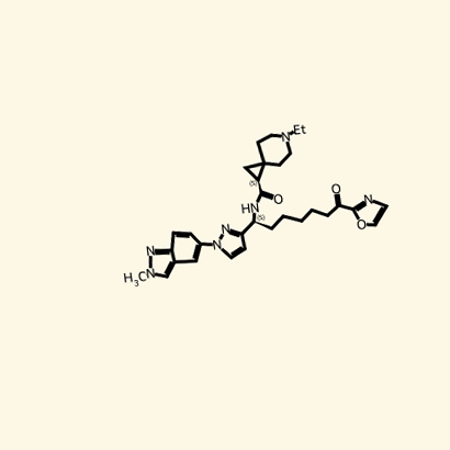 CCN1CCC2(CC1)C[C@@H]2C(=O)N[C@@H](CCCCCC(=O)c1ncco1)c1ccn(-c2ccc3nn(C)cc3c2)n1